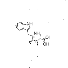 CN(CB(O)O)C(=S)[C@@H](N)Cc1c[nH]c2ccccc12